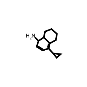 NC1C=CC(C2CC2)=C2CCCCC21